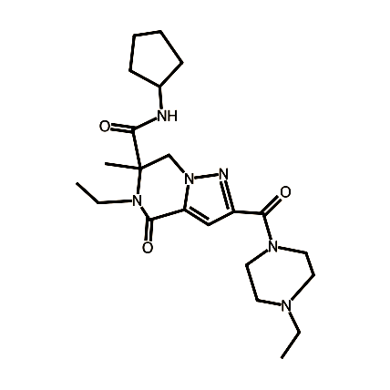 CCN1CCN(C(=O)c2cc3n(n2)CC(C)(C(=O)NC2CCCC2)N(CC)C3=O)CC1